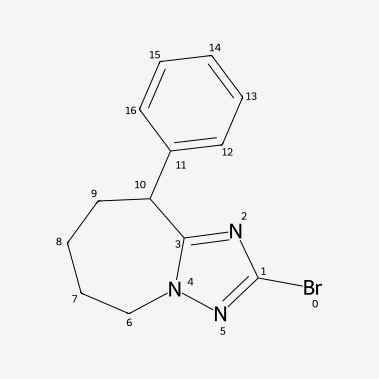 Brc1nc2n(n1)CCCCC2c1ccccc1